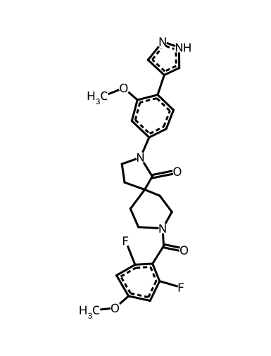 COc1cc(F)c(C(=O)N2CCC3(CC2)CCN(c2ccc(-c4cn[nH]c4)c(OC)c2)C3=O)c(F)c1